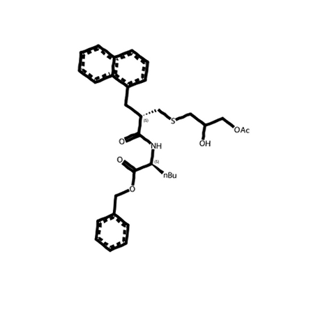 CCCC[C@H](NC(=O)[C@@H](CSCC(O)COC(C)=O)Cc1cccc2ccccc12)C(=O)OCc1ccccc1